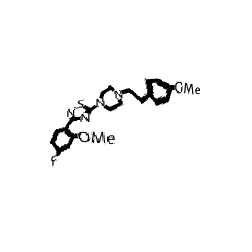 COc1ccc(CCN2CCN(c3nc(-c4ccc(F)cc4OC)ns3)CC2)cc1